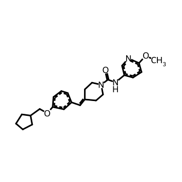 COc1ccc(NC(=O)N2CCC(=Cc3cccc(OCC4CCCC4)c3)CC2)cn1